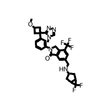 COC1CC(c2cccc(N3Cc4c(cc(CNC5CC6C(C5)C6(F)F)cc4C(F)(F)F)C3=O)c2)(c2nncn2C)C1